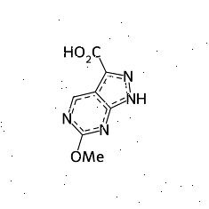 COc1ncc2c(C(=O)O)n[nH]c2n1